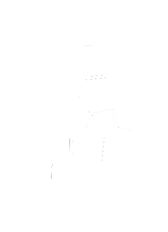 Cc1cn(Cc2ccccc2)c2cc(C(=O)Cl)ccc12